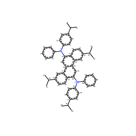 CC(C)c1ccc(N(c2ccccc2)c2cc3c4cc(C(C)C)ccc4c(N(c4ccccc4)c4ccc(C(C)C)cc4)cc3c3cc(C(C)C)ccc23)cc1